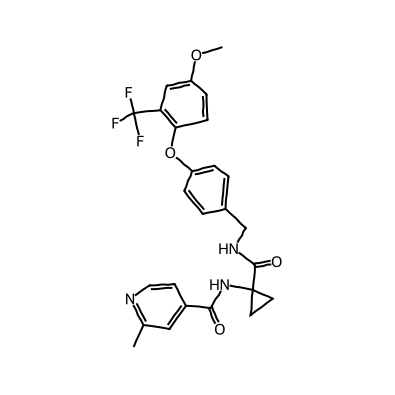 COc1ccc(Oc2ccc(CNC(=O)C3(NC(=O)c4ccnc(C)c4)CC3)cc2)c(C(F)(F)F)c1